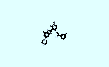 Cc1cccc(C(O)CNc2cc[nH]c(=O)c2-c2nc3cc(N4CCOCC4)cc(C)c3[nH]2)c1